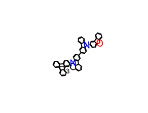 CC12C=CC=CC1c1cc(-c3ccc4c(c3)c3ccccc3n4-c3ccc4oc5ccccc5c4c3)ccc1N2c1ccc2c3ccccc3c3ccccc3c2c1